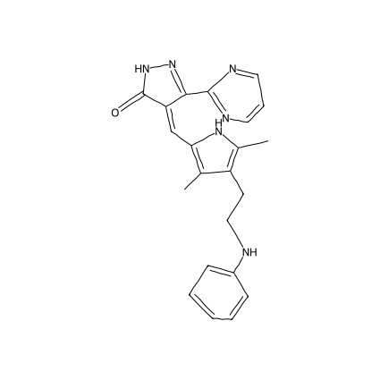 Cc1[nH]c(/C=C2/C(=O)NN=C2c2ncccn2)c(C)c1CCNc1ccccc1